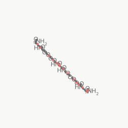 C[C@@H](CCCCNC(=O)CCOCCOCCOCCOCCNC(=O)CCCC(=O)NCCOCCOCCOCCOCCC(=O)NCCCC[C@H](C)C(N)=O)C(N)=O